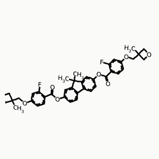 CC1(COc2ccc(C(=O)Oc3ccc4c(c3)C(C)(C)c3cc(OC(=O)c5ccc(OCC6(C)COC6)cc5F)ccc3-4)c(F)c2)COC1